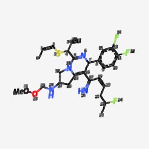 C/C=C\SC(C1=NC(c2ccc(F)c(F)c2)C(C(=N)/C=C\CC(C)F)=C2CC(NCOOC)CN12)C(C)CC